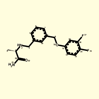 C[C@H](NCc1cccc(COc2ccc(F)c(F)c2)c1)C(N)=O